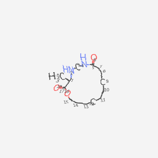 CC1NCNC(=O)CCCCCCCCCOC1=O